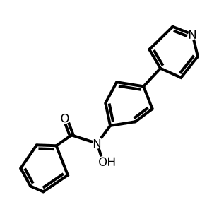 O=C(c1ccccc1)N(O)c1ccc(-c2ccncc2)cc1